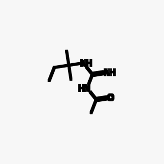 CCC(C)(C)NC(=N)NC(C)=O